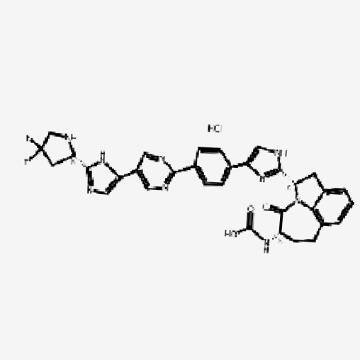 Cl.O=C(O)N[C@H]1CCc2cccc3c2N(C1=O)[C@H](c1nc(-c2ccc(-c4ncc(-c5cnc([C@@H]6CC(F)(F)CN6)[nH]5)cn4)cc2)c[nH]1)C3